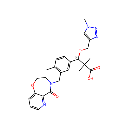 Cc1ccc([C@@H](OCc2cn(C)nn2)C(C)(C)C(=O)O)cc1CN1CCOc2cccnc2C1=O